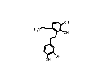 NCCc1ccc(O)c(O)c1CCc1ccc(O)c(O)c1